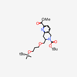 COC(=O)c1ccc2c(n1)CC(COCCCO[Si](C)(C)C(C)(C)C)N(C(=O)OC(C)(C)C)C2